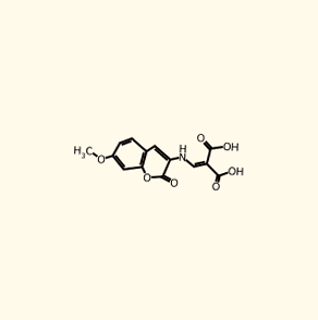 COc1ccc2cc(NC=C(C(=O)O)C(=O)O)c(=O)oc2c1